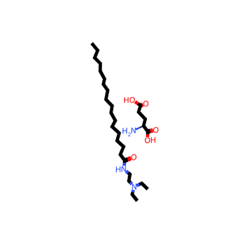 CCCCCCCCCCCCCCCCCC(=O)NCCN(CC)CC.N[C@@H](CCC(=O)O)C(=O)O